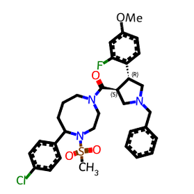 COc1ccc([C@@H]2CN(Cc3ccccc3)C[C@H]2C(=O)N2CCCC(c3ccc(Cl)cc3)N(S(C)(=O)=O)CC2)c(F)c1